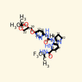 C[C@@H](NC(=O)C1C=CC2=C(N1)N(C(=O)Nc1ccc(OC[C@@H]3COC(C)(C)O3)nn1)[C@H]1CCN2C1)C(F)(F)F